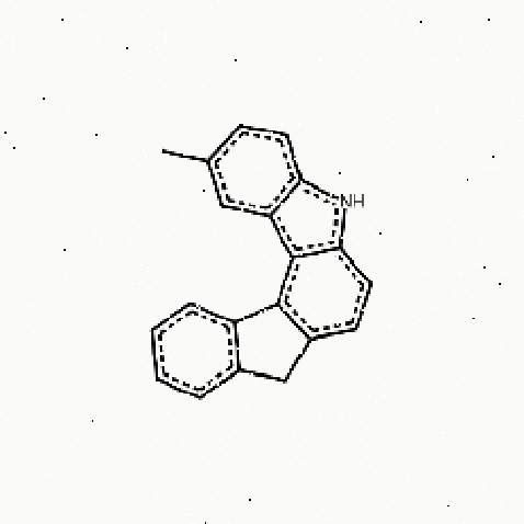 Cc1ccc2[nH]c3ccc4c(c3c2c1)-c1ccccc1C4